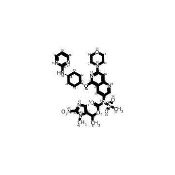 CC(OC(=O)N(c1cnc2cc(N3CCOCC3)nc(O[C@H]3CC[C@@H](Nc4ncccn4)CC3)c2c1)S(C)(=O)=O)c1cnc([N+](=O)[O-])n1C